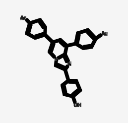 CC(=O)c1ccc(-c2cc(-c3ccc(C(C)=O)cc3)c3nc(-c4ccc(O)cc4)cn3c2)cc1